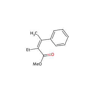 CCC(C(=O)OC)=C(C)c1ccccc1